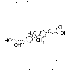 CC(C)(c1ccc(OCC(O)CO)cc1)c1ccc(OCC(CO)CCl)cc1